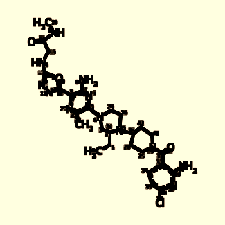 CC[C@H]1CN(c2nc(N)c(-c3nnc(NCC(=O)NC)o3)nc2C)CCN1C1CCN(C(=O)c2ccc(Cl)nc2N)CC1